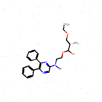 CC(C)N(CCOC(S)[C@@H](C)COCC(=O)O)c1cnc(-c2ccccc2)c(-c2ccccc2)n1